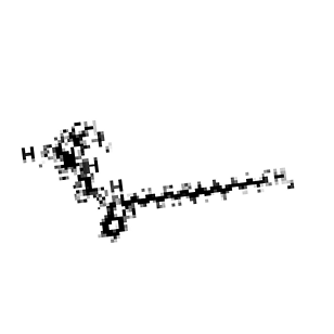 CCCCCCCCC=CCCCCCCCC(=O)N[C@@H](COC(=O)CCNC(=O)C1OC(C)(C)OCC1(C)C)c1ccccc1